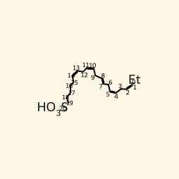 CC/C=C\C/C=C\CC=CC/C=C\C/C=C\CCCCCS(=O)(=O)O